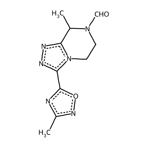 Cc1noc(-c2nnc3n2CCN(C=O)C3C)n1